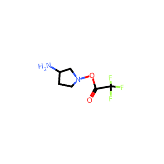 NC1CCN(OC(=O)C(F)(F)F)C1